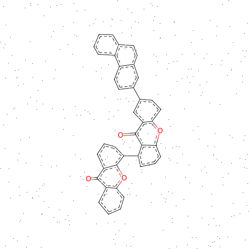 O=c1c2ccccc2oc2c(-c3cccc4oc5ccc(-c6ccc7c(ccc8ccccc87)c6)cc5c(=O)c34)cccc12